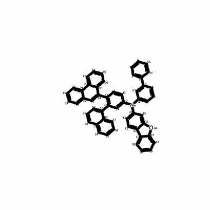 c1ccc(-c2cccc(N(c3ccc(-c4cc5ccccc5c5ccccc45)c(-c4cccc5ccccc45)c3)c3ccc4c(c3)oc3ccccc34)c2)cc1